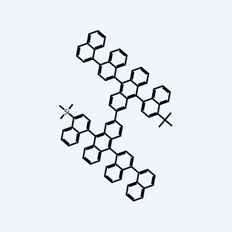 CC(C)(C)c1ccc(-c2c3ccccc3c(-c3ccc(-c4cccc5ccccc45)c4ccccc34)c3ccc(-c4ccc5c(-c6ccc(-c7cccc8ccccc78)c7ccccc67)c6ccccc6c(-c6ccc([Si](C)(C)C)c7ccccc67)c5c4)cc23)c2ccccc12